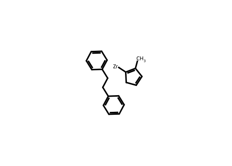 CC1=[C]([Zr])CC=C1.c1ccc(CCc2ccccc2)cc1